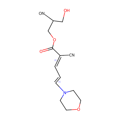 N#C/C(=C\C=C\N1CCOCC1)C(=O)OCC(CO)N=O